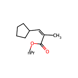 CCCOC(=O)C(C)=CC1CCCC1